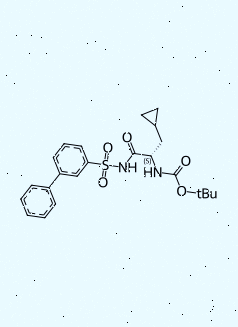 CC(C)(C)OC(=O)N[C@@H](CC1CC1)C(=O)NS(=O)(=O)c1cccc(-c2ccccc2)c1